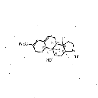 CC[C@H]1CC[C@H]2[C@@H]3CC=C4C=C(OC)CC[C@]4(C)[C@H]3[C@@H](O)C[C@]12C